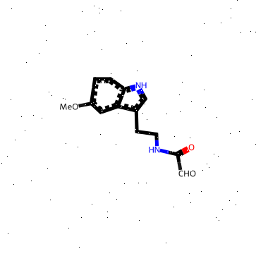 COc1ccc2[nH]cc(CCNC(=O)C=O)c2c1